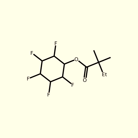 CCC(C)(C)C(=O)OC1C(F)C(F)C(F)C(F)C1F